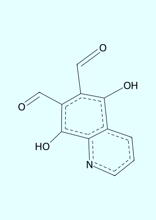 O=Cc1c(C=O)c(O)c2ncccc2c1O